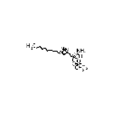 CCCCCCCCCCn1cc(CCC2(OC(N)=O)COC(C)(C)OC2)nn1